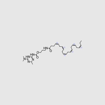 CC/C=C\C/C=C\C/C=C\C/C=C\C/C=C\C/C=C\CCC(=O)NCCCOC(=O)NC1=NC(C)N=C(N(C)C)N1